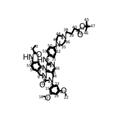 CCC(=O)Nc1ccc(CN2C(=O)N(c3cc(OC)cc(OC)c3)Cc3cnc(Nc4ccc(N5CCN(CCCC(=O)OC(C)(C)C)CC5)cc4)nc32)cc1